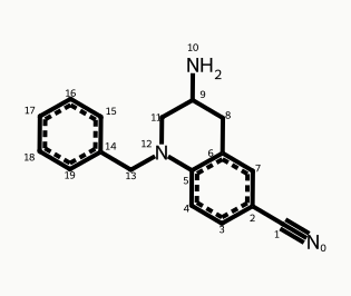 N#Cc1ccc2c(c1)CC(N)CN2Cc1ccccc1